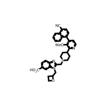 COc1c(-c2ccc(C#N)c3ccccc23)ccnc1C1CCN(Cc2nc3ccc(C(=O)O)cc3n2CC2CCO2)CC1